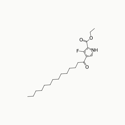 CCCCCCCCCCCCCC(=O)c1c[nH]c(C(=O)OCC)c1F